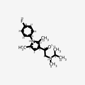 Cc1cc(C(=O)CN(C)C(C)C)c(C)n1-c1ccc(F)cc1